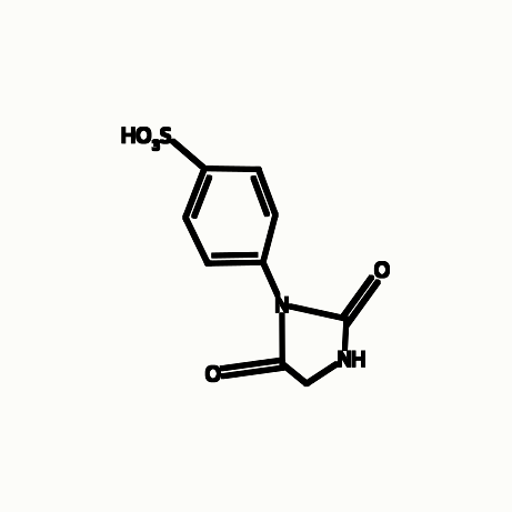 O=C1CNC(=O)N1c1ccc(S(=O)(=O)O)cc1